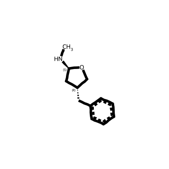 CN[C@@H]1C[C@@H](Cc2ccccc2)CO1